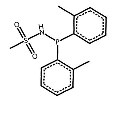 Cc1ccccc1P(NS(C)(=O)=O)c1ccccc1C